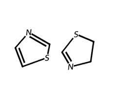 C1=NCCS1.c1cscn1